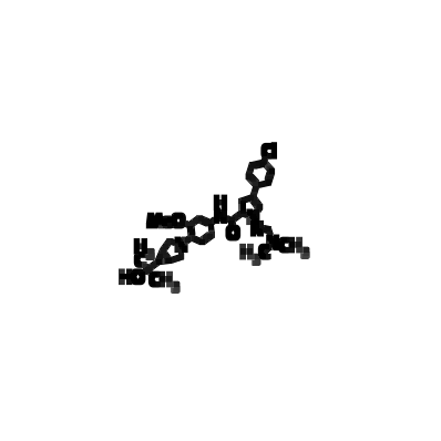 COc1cc(NC(=O)c2cc(-c3ccc(Cl)cc3)cn2N=CN(C)C)ccc1N1CC2C(C1)C2C(C)(C)O